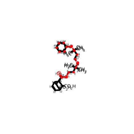 CC(C)(CCOC(=O)C1C2C=CC(C1C(=O)O)C(C(=O)O)C2C(=O)OCCC(C)(C)OCCC(C)(C)Oc1ccccc1)OCCC(C)(C)Oc1ccccc1